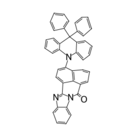 O=c1c2cccc3c(N4c5ccccc5C(c5ccccc5)(c5ccccc5)c5ccccc54)ccc(c32)c2nc3ccccc3n12